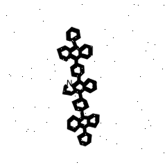 c1ccc(-c2c3ccccc3c(-c3ccc(-c4c5ccccc5c(-c5ccc(-c6c7ccccc7c(-c7ccccc7)c7ccccc67)cc5)c5ncccc45)cc3)c3ccccc23)cc1